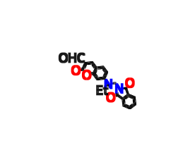 CCN(CN1C(=O)c2ccccc2C1=O)c1ccc2cc(C=O)c(=O)oc2c1